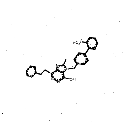 Cc1nc2c(CCc3ccccc3)nnc(O)c2n1Cc1ccc(-c2ccccc2C(=O)O)cc1